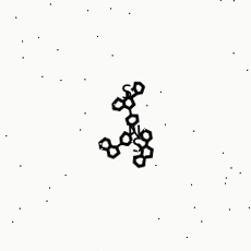 c1ccc2c(-c3ccc(N(c4ccc(-c5cc6c7ccccc7sc6c6ccccc56)cc4)c4cccc5c4sc4c6ccccc6ccc54)cc3)cccc2c1